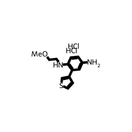 COCCNc1ccc(N)cc1-c1ccsc1.Cl.Cl